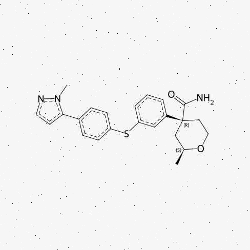 C[C@H]1C[C@@](C(N)=O)(c2cccc(Sc3ccc(-c4ccnn4C)cc3)c2)CCO1